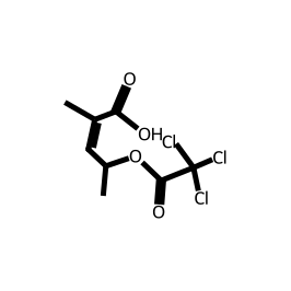 CC(=CC(C)OC(=O)C(Cl)(Cl)Cl)C(=O)O